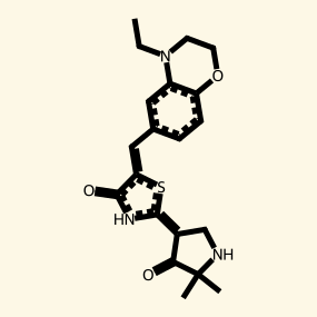 CCN1CCOc2ccc(/C=c3\s/c(=C4\CNC(C)(C)C4=O)[nH]c3=O)cc21